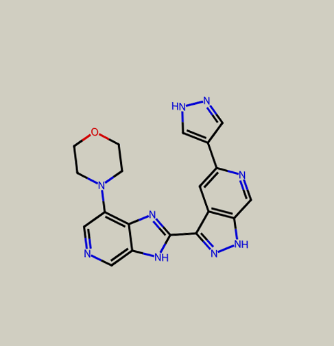 c1n[nH]cc1-c1cc2c(-c3nc4c(N5CCOCC5)cncc4[nH]3)n[nH]c2cn1